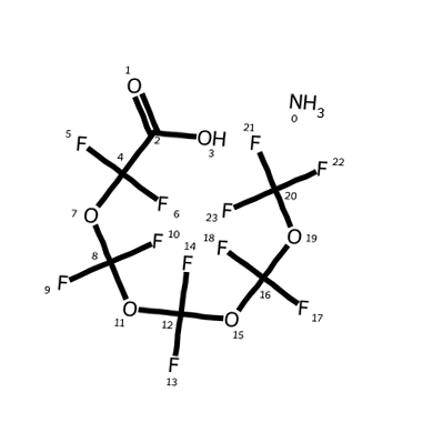 N.O=C(O)C(F)(F)OC(F)(F)OC(F)(F)OC(F)(F)OC(F)(F)F